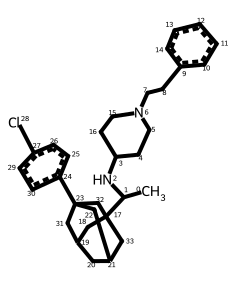 CC(NC1CCN(CCc2ccccc2)CC1)C12CC3CC(CC(c4ccc(Cl)cc4)(C3)C1)C2